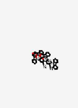 N#Cc1cc(-n2c3ccccc3c3ccccc32)c(-n2c3ccccc3c3ccccc32)cc1-c1cc(C#N)c(-n2c3ccccc3c3ccccc32)nc1-n1c2ccccc2c2ccccc21